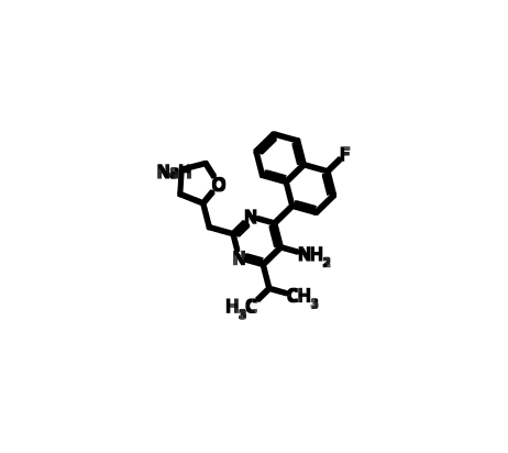 CC(C)c1nc(CC2CCCO2)nc(-c2ccc(F)c3ccccc23)c1N.[NaH]